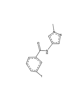 Cn1cc(NC(=O)c2cccc(I)c2)cn1